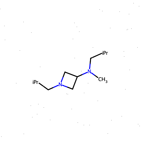 CC(C)CN1CC(N(C)CC(C)C)C1